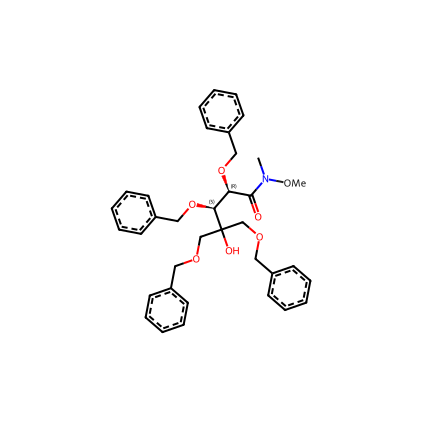 CON(C)C(=O)[C@H](OCc1ccccc1)[C@H](OCc1ccccc1)C(O)(COCc1ccccc1)COCc1ccccc1